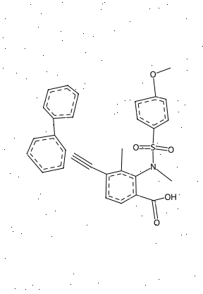 C#Cc1ccc(C(=O)O)c(N(C)S(=O)(=O)c2ccc(OC)cc2)c1C.c1ccc(-c2ccccc2)cc1